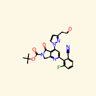 CC(C)(C)OC(=O)N1Cc2nc(-c3c(F)cccc3C#N)cc(-n3ccc(CC=O)n3)c2C1=O